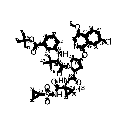 COc1cnc(O[C@@H]2C[C@@H](C(=O)N[C@]3(C(=O)NS(=O)(=O)C4CC4)C[C@H]3I)N(C(=O)[C@@H](Nc3cccc(C(=O)OC(C)(C)C)c3)C(C)(C)C)C2)c2cc(Cl)ccc12